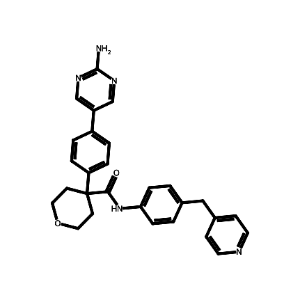 Nc1ncc(-c2ccc(C3(C(=O)Nc4ccc(Cc5ccncc5)cc4)CCOCC3)cc2)cn1